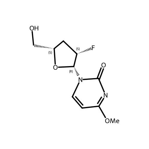 COc1ccn([C@@H]2O[C@H](CO)C[C@@H]2F)c(=O)n1